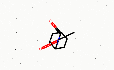 O=C1NC(=O)C2CCC1CC2